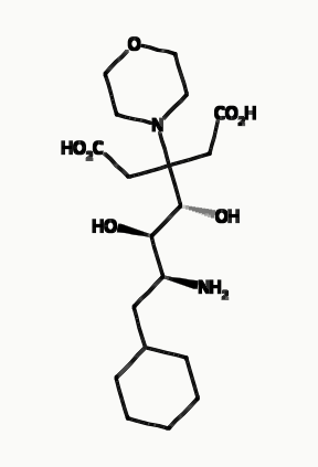 N[C@@H](CC1CCCCC1)[C@@H](O)[C@@H](O)C(CC(=O)O)(CC(=O)O)N1CCOCC1